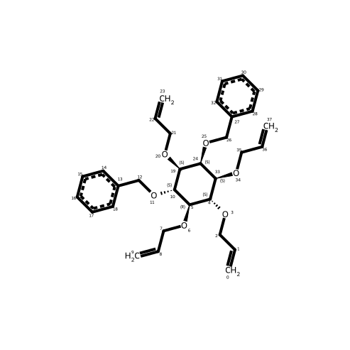 C=CCO[C@@H]1[C@@H](OCC=C)[C@H](OCc2ccccc2)[C@@H](OCC=C)[C@@H](OCc2ccccc2)[C@H]1OCC=C